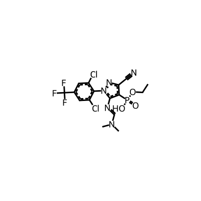 CCOP(=O)(O)c1c(C#N)nn(-c2c(Cl)cc(C(F)(F)F)cc2Cl)c1/N=C/N(C)C